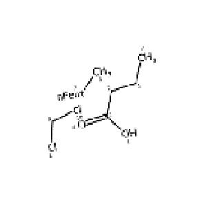 CCCC(=O)O.CCCCCC.ClCCl